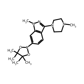 CN1CCN(c2nn(C)c3cc(B4OC(C)(C)C(C)(C)O4)ccc23)CC1